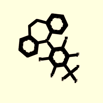 Fc1c(F)c(C(F)(F)F)c(F)c(F)c1N1c2ccccc2CCc2ccccc21